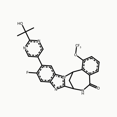 CC(C)(O)c1ncc(-c2cc3c(cc2F)nc2n3C3CC2NC(=O)c2cccc(OC(F)(F)F)c23)cn1